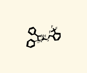 FC(F)(F)c1ccccc1CSC1=N[C@@H](c2ccccc2)C(c2ccccc2)N1